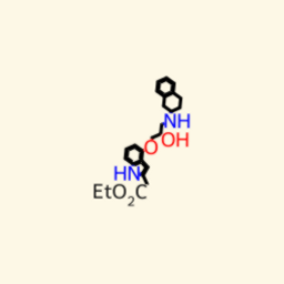 CCOC(=O)Cc1cc2c(OCC(O)CNC3CCc4ccccc4C3)cccc2[nH]1